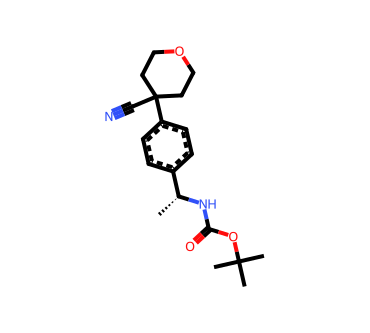 C[C@@H](NC(=O)OC(C)(C)C)c1ccc(C2(C#N)CCOCC2)cc1